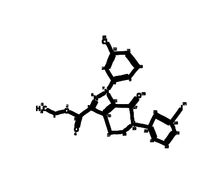 CCOC(=O)c1nn(-c2cccc(Cl)c2)c2c1CCN(c1cccc(I)c1)C2=O